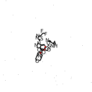 CC(C)(C)OC(=O)N1C2COCC1CN(c1cc(S(=O)(=O)NC3(C#N)CC3)cc3c1cnn3-c1nnc(C(F)F)s1)C2